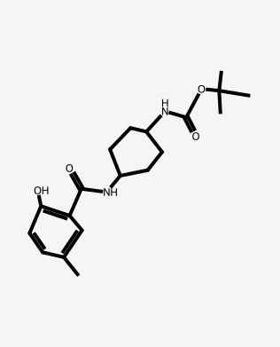 Cc1ccc(O)c(C(=O)NC2CCC(NC(=O)OC(C)(C)C)CC2)c1